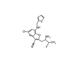 CC(F)C(N)Cc1oc2c(NCc3cccs3)cc(Cl)nc2c1C#N